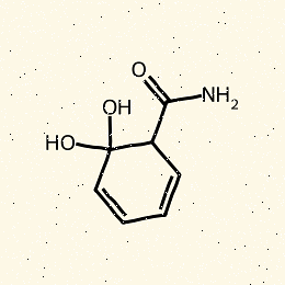 NC(=O)C1C=CC=CC1(O)O